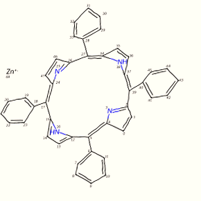 C1=Cc2nc1c(-c1ccccc1)c1ccc([nH]1)c(-c1ccccc1)c1nc(c(-c3ccccc3)c3ccc([nH]3)c2-c2ccccc2)C=C1.[Zn+]